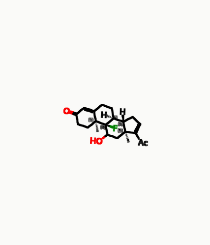 CC(=O)C1=CC[C@H]2[C@@H]3CCC4=CC(=O)CC[C@]4(C)[C@@]3(F)C(O)C[C@]12C